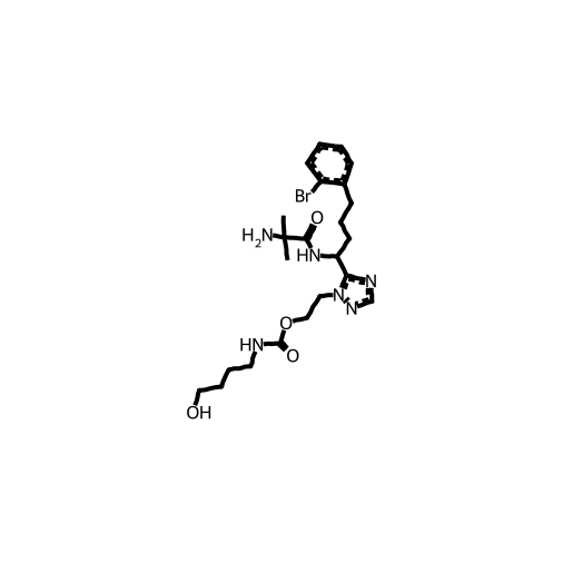 CC(C)(N)C(=O)NC(CCCc1ccccc1Br)c1ncnn1CCOC(=O)NCCCCO